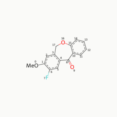 COc1cc2c(cc1F)C(=O)c1ccccc1OC2